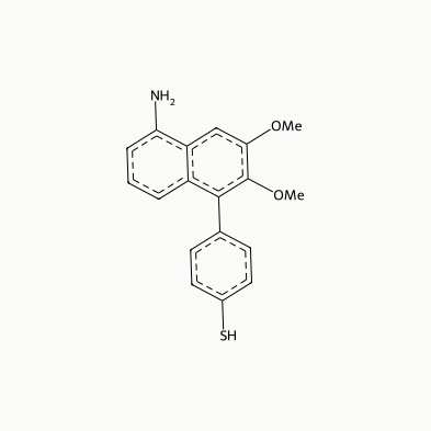 COc1cc2c(N)cccc2c(-c2ccc(S)cc2)c1OC